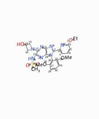 CCOc1cccc(-c2nc3nc(N4CC(O)C4)c(NS(C)(=O)=O)nc3n2-c2c(OC)cccc2OC)n1